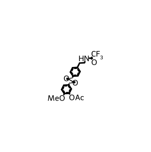 COc1ccc(S(=O)(=O)c2ccc(CCNC(=O)C(F)(F)F)cc2)cc1OC(C)=O